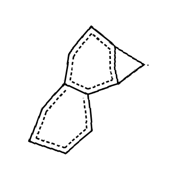 [CH]1c2ccc3ccccc3c21